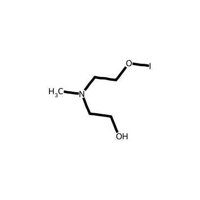 CN(CCO)CCOI